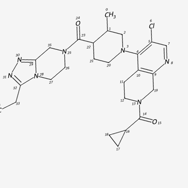 CC1CN(c2c(Cl)cnc3c2CCN(C(=O)C2CC2)C3)CCC1C(=O)N1CCn2c(nnc2CC(F)(F)F)C1